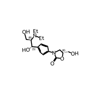 CCN(CC)[C@H](CO)[C@@H](O)c1ccc(N2C[C@H](CO)OC2=O)cc1